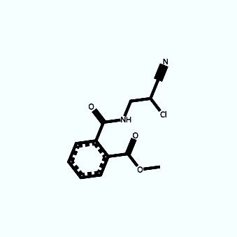 COC(=O)c1ccccc1C(=O)NCC(Cl)C#N